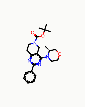 C[C@H]1COCCN1c1nc(-c2ccccc2)nc2c1CN(C(=O)OC(C)(C)C)CC2